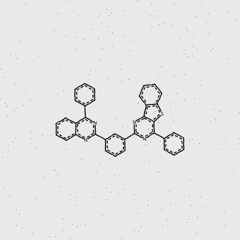 c1ccc(-c2nc(-c3cccc(-c4nc(-c5ccccc5)c5sc6ccccc6c5n4)c3)nc3ccccc23)cc1